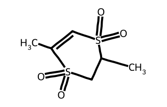 CC1=CS(=O)(=O)C(C)CS1(=O)=O